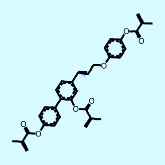 C=C(C)C(=O)Oc1ccc(OC/C=C/c2ccc(-c3ccc(OC(=O)C(=C)C)cc3)c(OC(=O)C(=C)C)c2)cc1